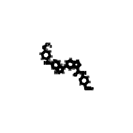 COC1CCC(NC(=O)c2cnn3ccc(-c4c[nH]c5nc(N[C@H]6CC[C@@H](OC(F)(F)F)CC6)ncc45)cc23)CC1